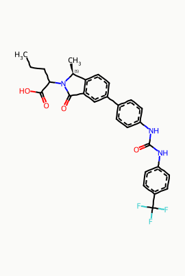 CCCC(C(=O)O)N1C(=O)c2cc(-c3ccc(NC(=O)Nc4ccc(C(F)(F)F)cc4)cc3)ccc2[C@@H]1C